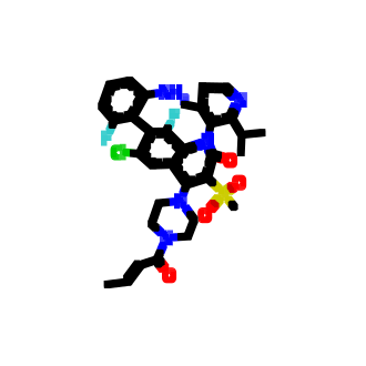 C/C=C/C(=O)N1CCN(c2c(S(C)(=O)=O)c(=O)n(-c3c(C)ccnc3C(C)C)c3c(F)c(-c4c(N)cccc4F)c(Cl)cc23)CC1